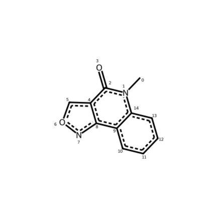 Cn1c(=O)c2conc2c2ccccc21